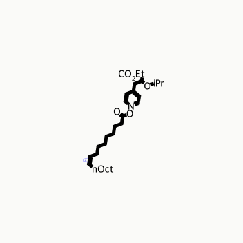 CCCCCCCC/C=C\CCCCCCCC(=O)O[n+]1ccc(CC(OC(C)C)C(=O)OCC)cc1